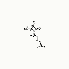 CN(C)CCCN(C)c1c(C(C)(C)C)c(=S)c1=O